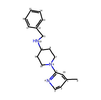 Cc1ccnc(N2CCC(NCc3ccccc3)CC2)c1